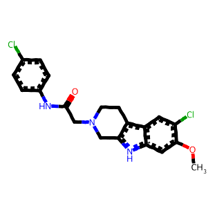 COc1cc2[nH]c3c(c2cc1Cl)CCN(CC(=O)Nc1ccc(Cl)cc1)C3